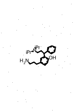 CC(C)N(CCC(c1ccccc1)c1cc(CCCN)ccc1O)C(C)C